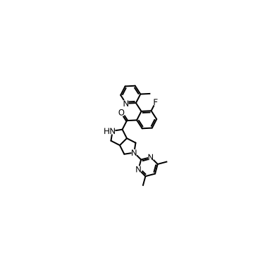 Cc1cc(C)nc(N2CC3CNC(C(=O)c4cccc(F)c4-c4ncccc4C)C3C2)n1